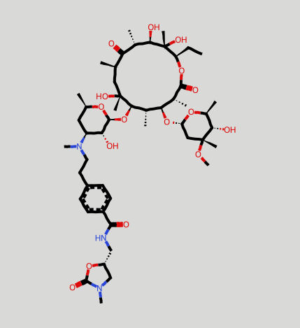 CC[C@H]1OC(=O)[C@H](C)[C@@H](O[C@H]2C[C@@](C)(OC)[C@@H](O)[C@H](C)O2)[C@H](C)[C@@H](O[C@@H]2O[C@H](C)C[C@H](N(C)CCc3ccc(C(=O)NC[C@@H]4CN(C)C(=O)O4)cc3)[C@H]2O)[C@](C)(O)C[C@@H](C)C(=O)[C@H](C)[C@@H](O)[C@]1(C)O